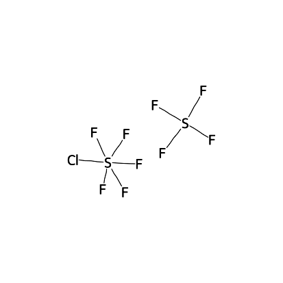 FS(F)(F)(F)(F)Cl.FS(F)(F)F